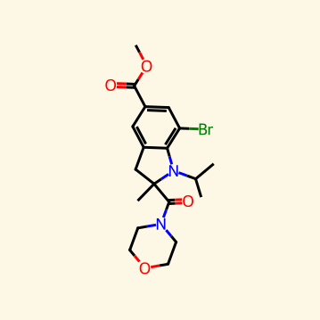 COC(=O)c1cc(Br)c2c(c1)CC(C)(C(=O)N1CCOCC1)N2C(C)C